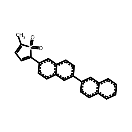 CC1=CC=C(c2ccc3cc(-c4ccc5ccccc5c4)ccc3c2)S1(=O)=O